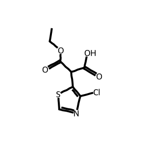 CCOC(=O)C(C(=O)O)c1scnc1Cl